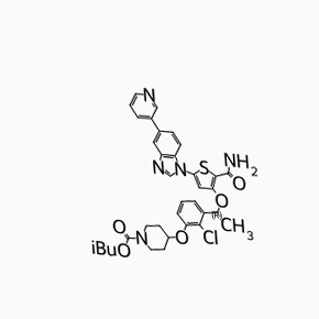 CC(C)COC(=O)N1CCC(Oc2cccc([C@@H](C)Oc3cc(-n4cnc5cc(-c6cccnc6)ccc54)sc3C(N)=O)c2Cl)CC1